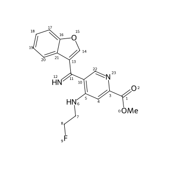 COC(=O)c1cc(NCCF)c(C(=N)c2coc3ccccc23)cn1